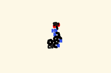 CC(C)(C)OC(=O)CNc1cccc(CC(c2cccnc2)(c2cccnc2)c2cccc(C#N)c2)n1